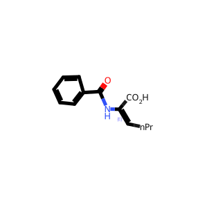 CCC/C=C(/NC(=O)c1ccccc1)C(=O)O